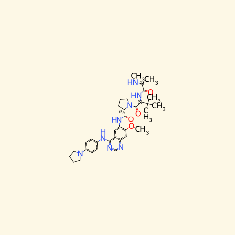 CN[C@@H](C)C(=O)N[C@H](C(=O)N1CCC[C@H]1C(=O)Nc1cc2c(Nc3ccc(N4CCCC4)cc3)ncnc2cc1OC)C(C)(C)C